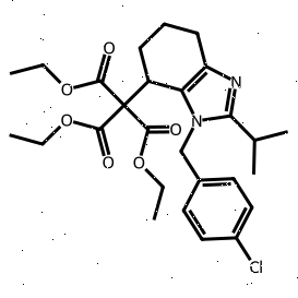 CCOC(=O)C(C(=O)OCC)(C(=O)OCC)C1CCCc2nc(C(C)C)n(Cc3ccc(Cl)cc3)c21